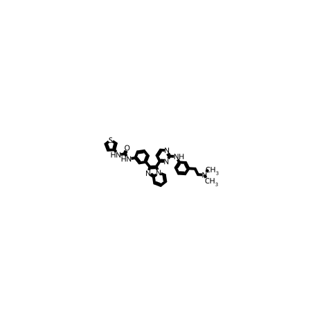 CN(C)CCc1cccc(Nc2nccc(-c3c(-c4cccc(NC(=O)Nc5ccsc5)c4)nc4ccccn34)n2)c1